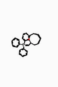 C(C1CCCCCCC1)=P(c1ccccc1)(c1ccccc1)c1ccccc1